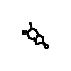 C[C@H]1CC2CC(=O)CN2CN1